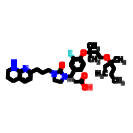 CCCC(C)(CC)OCCC(C)(C)Oc1ccc([C@H](CC(=O)O)N2CCN(CCCc3ccc4c(n3)NCCC4)C2=O)cc1F